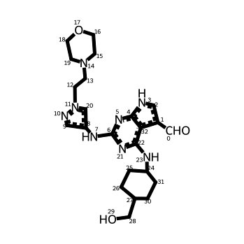 O=Cc1c[nH]c2nc(Nc3cnn(CCN4CCOCC4)c3)nc(NC3CCC(CO)CC3)c12